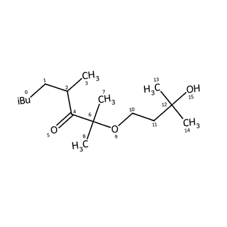 CCC(C)CC(C)C(=O)C(C)(C)OCCC(C)(C)O